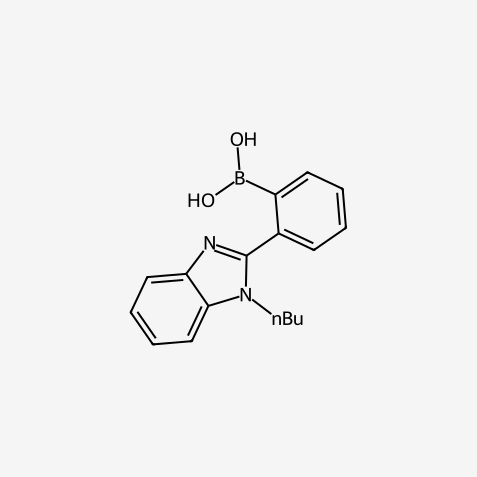 CCCCn1c(-c2ccccc2B(O)O)nc2ccccc21